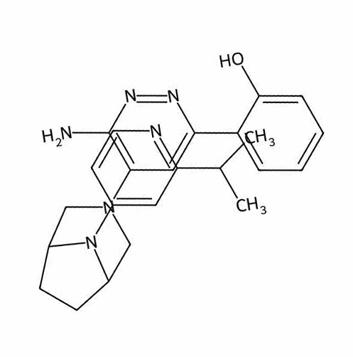 CC(C)c1cc(N2C3CCC2CN(c2cc(-c4ccccc4O)nnc2N)C3)ccn1